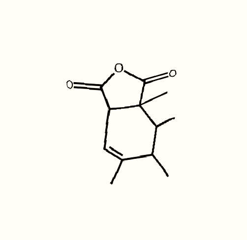 CC1=CC2C(=O)OC(=O)C2(C)C(C)C1C